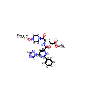 CCOC(=O)ON1CCN(C(=O)[C@H](CCC(=O)OC(C)(C)C)NC(=O)c2cc(-n3cncn3)nc(-c3ccccc3)n2)CC1